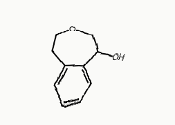 OC1COCCc2ccccc21